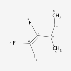 CCC(C)C(F)=C(F)I